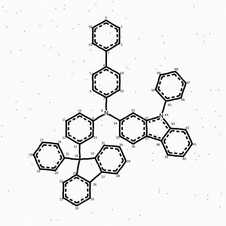 c1ccc(-c2ccc(N(c3cccc(C4(c5ccccc5)c5ccccc5-c5ccccc54)c3)c3ccc4c5ccccc5n(-c5ccccc5)c4c3)cc2)cc1